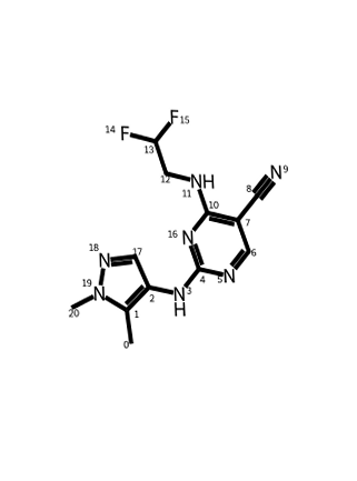 Cc1c(Nc2ncc(C#N)c(NCC(F)F)n2)cnn1C